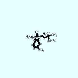 CC(=O)NC(C)(C)CCn1c(=O)n(C)c2ccc([N+](=O)[O-])cc21